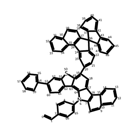 C=Cc1ccc(-n2c3ccc4ccccc4c3c3cc(-c4ccc5c(c4)-c4c(ccc6ccccc46)C54c5ccccc5-c5ccccc54)c4sc5cc(-c6ccccc6)ccc5c4c32)cc1